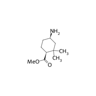 COC(=O)[C@H]1CC[C@@H](N)CC1(C)C